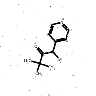 CC(C)(C)C(=O)C(Br)c1ccncc1